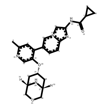 Cc1cc(-c2ccc3nc(NC(=O)C4CC4)cn3c2)c(O[C@H]2C[C@H]3COC[C@@H](C2)N3)cn1